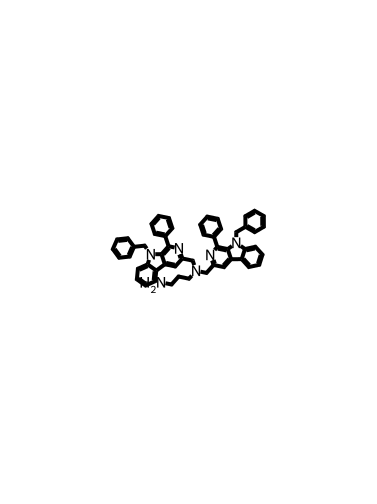 NCCCN(Cc1cc2c3ccccc3n(Cc3ccccc3)c2c(-c2ccccc2)n1)Cc1cc2c3ccccc3n(Cc3ccccc3)c2c(-c2ccccc2)n1